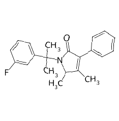 CC1=C(c2ccccc2)C(=O)N(C(C)(C)c2cccc(F)c2)C1C